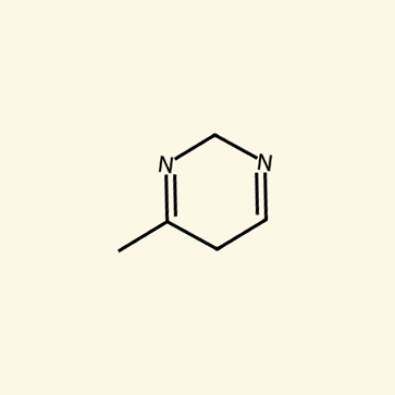 CC1=NCN=CC1